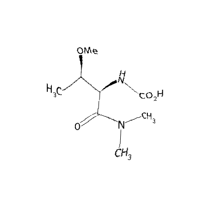 CO[C@H](C)[C@@H](NC(=O)O)C(=O)N(C)C